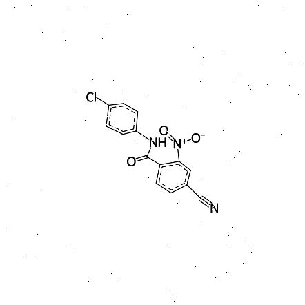 N#Cc1ccc(C(=O)Nc2ccc(Cl)cc2)c([N+](=O)[O-])c1